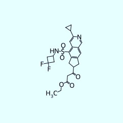 CCOC(=O)CC(=O)C1Cc2cc3cnc(C4CC4)cc3c(S(=O)(=O)NC3CC(F)(F)C3)c2C1